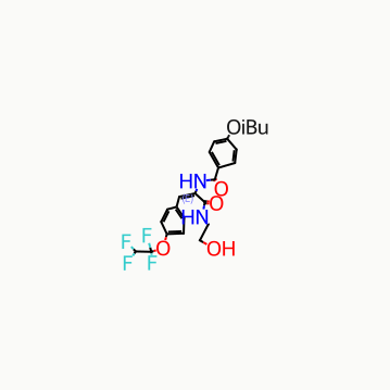 CC(C)COc1ccc(C(=O)N/C(=C/c2ccc(OC(F)(F)C(F)F)cc2)C(=O)NCCO)cc1